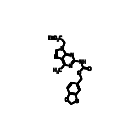 CCOC(=O)Cn1cnc2c(C)nc(NC(=O)OCc3ccc4c(c3)OCO4)nc21